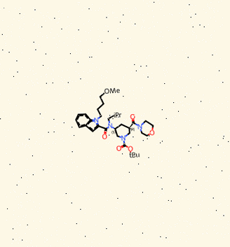 COCCCCn1c(C(=O)N(CC(C)C)[C@H]2C[C@@H](C(=O)N3CCOCC3)CN(C(=O)OC(C)(C)C)C2)cc2ccccc21